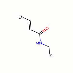 CC/C=C/C(=O)NCC(C)C